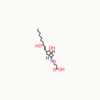 CCCCCCCC(O)C=CC1C[C@@H]2C(=NOCCC(=O)O)C[C@H]2C1O